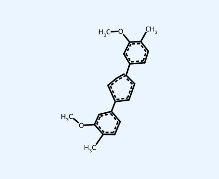 COc1cc(-c2ccc(-c3ccc(C)c(OC)c3)cc2)ccc1C